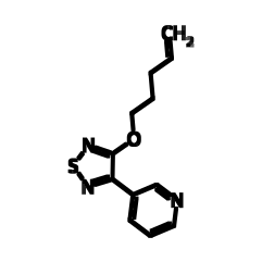 C=CCCCOc1nsnc1-c1cccnc1